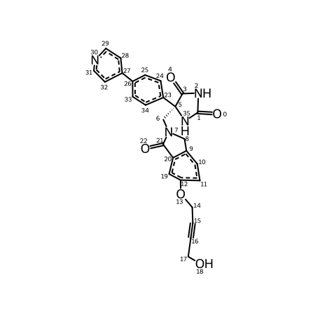 O=C1NC(=O)[C@](CN2Cc3ccc(OCC#CCO)cc3C2=O)(c2ccc(-c3ccncc3)cc2)N1